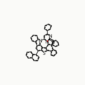 c1ccc(-c2cc(-n3c4ccccc4c4cc(-c5cccc6ccccc56)c5sc6c7ccccc7c7ccccc7c6c5c43)nc(-c3ccccc3)n2)cc1